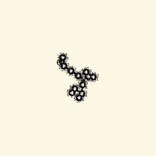 c1ccc2c(-c3c(-c4ccc(N(c5ccc(-c6ccc(-c7ccc8oc9ccccc9c8c7)cc6)cc5)c5cc6ccccc6c6ccccc56)cc4)ccc4ccccc34)cccc2c1